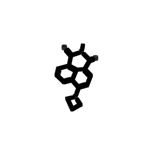 CN1C(=O)c2cccc3c(N4CCC4)ccc(c23)C1=O